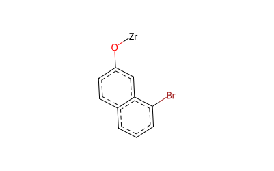 Brc1cccc2ccc([O][Zr])cc12